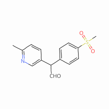 Cc1ccc(C(C=O)c2ccc(S(C)(=O)=O)cc2)cn1